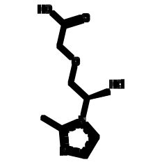 Cc1nccn1[C@H](C)COCC(=O)O.Cl